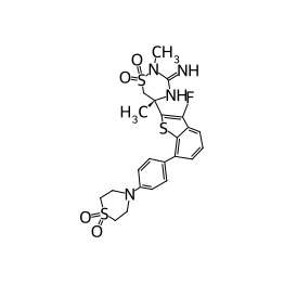 CN1C(=N)N[C@](C)(c2sc3c(-c4ccc(N5CCS(=O)(=O)CC5)cc4)cccc3c2F)CS1(=O)=O